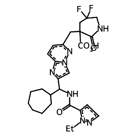 CCn1nccc1C(=O)NC(c1cn2nc(CC3(C(=O)O)CC(F)(F)CNC3=O)ccc2n1)C1CCCCCC1